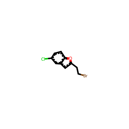 Clc1ccc2oc(CCBr)cc2c1